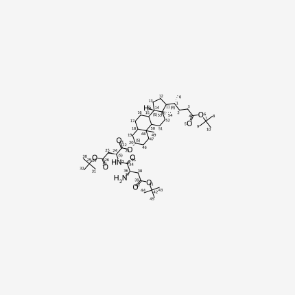 C[C@H](CCC(=O)OC(C)(C)C)C1CC[C@H]2C3CCC4C[C@@H](OC(=O)[C@H](CC(=O)OC(C)(C)C)NC(=O)C(N)CC(=O)OC(C)(C)C)CCC4(C)C3CC[C@]12C